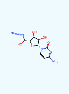 [N-]=[N+]=NC(O)[C@H]1O[C@@H](n2ccc(N)nc2=O)[C@H](O)[C@@H]1O